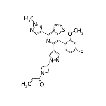 C=CC(=O)N1CC(n2cc(-c3nc(-c4cnn(C)c4)c4ccsc4c3-c3ccc(F)cc3OC)cn2)C1